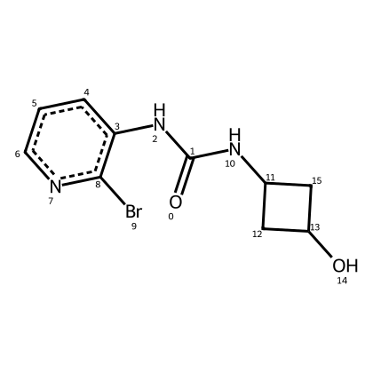 O=C(Nc1cccnc1Br)NC1CC(O)C1